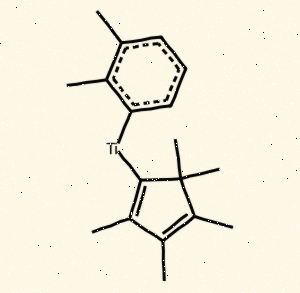 CC1=C(C)C(C)(C)[C]([Ti][c]2cccc(C)c2C)=C1C